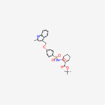 Cc1cc(COc2ccc(S(=O)(=O)NC3C4CCC(O4)C3C(=O)OC(C)(C)C)cc2)c2ccccc2n1